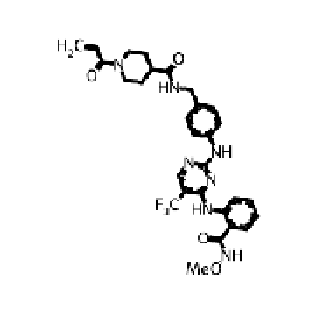 C=CC(=O)N1CCC(C(=O)NCc2ccc(Nc3ncc(C(F)(F)F)c(Nc4ccccc4C(=O)NOC)n3)cc2)CC1